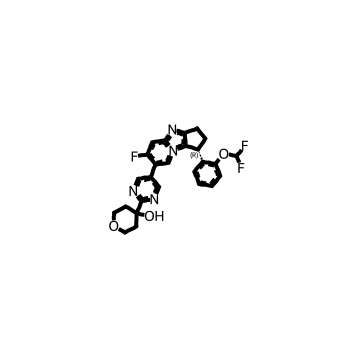 OC1(c2ncc(-c3cn4c5c(nc4cc3F)CC[C@@H]5c3ccccc3OC(F)F)cn2)CCOCC1